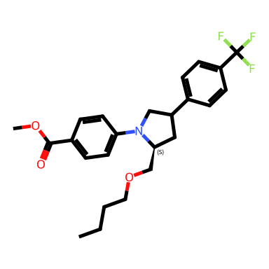 CCCCOC[C@@H]1CC(c2ccc(C(F)(F)F)cc2)CN1c1ccc(C(=O)OC)cc1